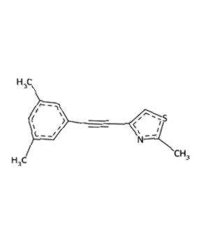 Cc1cc(C)cc(C#Cc2csc(C)n2)c1